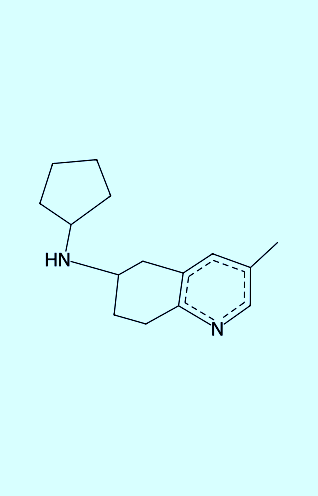 Cc1cnc2c(c1)CC(NC1CCCC1)CC2